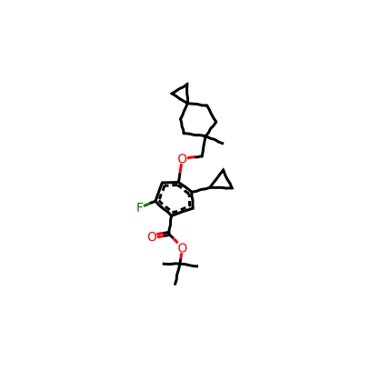 CC1(COc2cc(F)c(C(=O)OC(C)(C)C)cc2C2CC2)CCC2(CC1)CC2